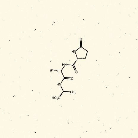 CC(C)[C@H](NC(=O)[C@@H]1CCC(=O)N1)C(=O)N[C@@H](C)C(=O)O